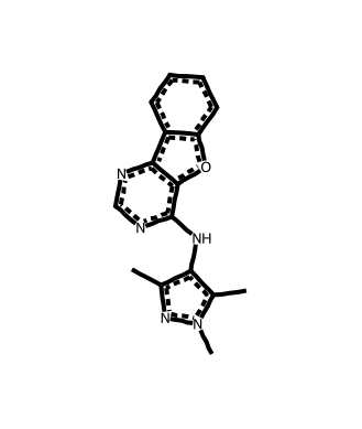 Cc1nn(C)c(C)c1Nc1ncnc2c1oc1ccccc12